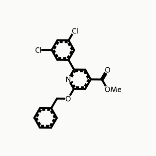 COC(=O)c1cc(OCc2ccccc2)nc(-c2cc(Cl)cc(Cl)c2)c1